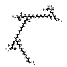 C=CCN(CCNC(=N)N)C(=O)CCSCCCCSCCCN(CCNC(=N)N)C(=O)CCSCCCCSCCCN(CCNC(=N)N)C(=O)CCSCCCCSCCCN